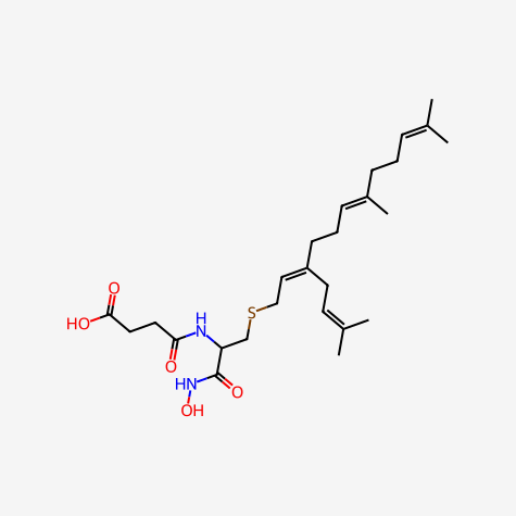 CC(C)=CCC/C(C)=C/CC/C(=C/CSCC(NC(=O)CCC(=O)O)C(=O)NO)CC=C(C)C